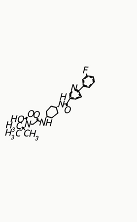 CC(C)(C)N(CC(=O)N[C@H]1CC[C@H](NC(=O)c2ccc(-c3cccc(F)c3)nc2)CC1)C(=O)O